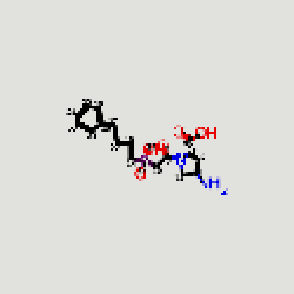 NC1C[C@@H](C(=O)O)N(C(=O)CP(=O)(O)CCCCc2ccccc2)C1